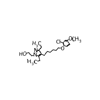 CCc1nn(CCO)c(CC)c1CCCCCCOc1ccc(OC)cc1Cl